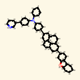 c1ccc(N(c2ccc(-c3cccnc3)cc2)c2ccc(-c3cc4ccc5cc(-c6ccc7c(c6)oc6ccccc67)cc6ccc(c3)c4c56)cc2)cc1